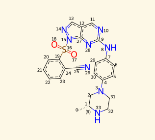 C[C@@H]1CN(c2ccc(Nc3ncc4cnn(S(=O)(=O)c5ccccc5C#N)c4n3)cc2)CCN1